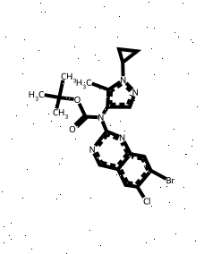 Cc1c(N(C(=O)OC(C)(C)C)c2ncc3cc(Cl)c(Br)cc3n2)cnn1C1CC1